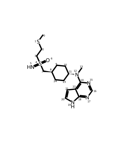 CSCCS(=N)(=O)C[C@H]1CC[C@H](N(C)c2ncnc3[nH]ccc23)CC1